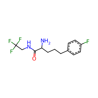 NC(CCCc1ccc(F)cc1)C(=O)NCC(F)(F)F